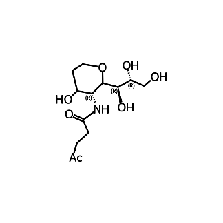 CC(=O)CCC(=O)N[C@@H]1C(O)CCOC1[C@H](O)[C@H](O)CO